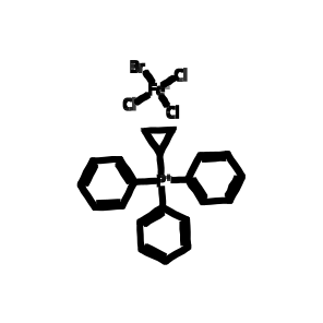 [Cl][Fe-]([Cl])([Cl])[Br].c1ccc([P+](c2ccccc2)(c2ccccc2)C2CC2)cc1